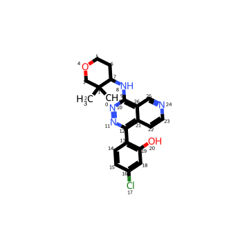 CC1(C)COCCC1Nc1nnc(-c2ccc(Cl)cc2O)c2ccncc12